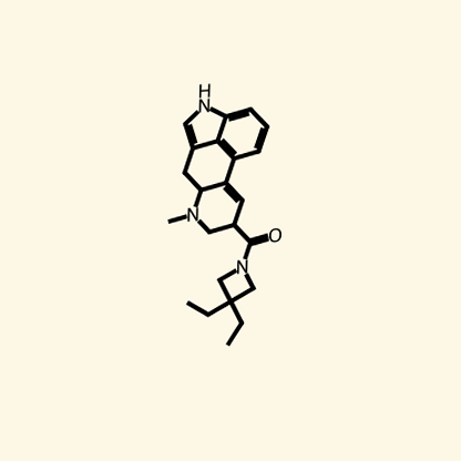 CCC1(CC)CN(C(=O)C2C=C3c4cccc5[nH]cc(c45)CC3N(C)C2)C1